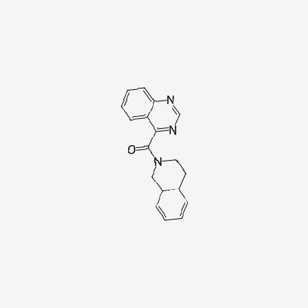 O=C(c1ncnc2ccccc12)N1CCC2C=CC=CC2C1